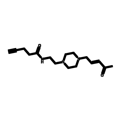 C#CCCC(=O)NCCN1CCN(C/C=C/C(C)=O)CC1